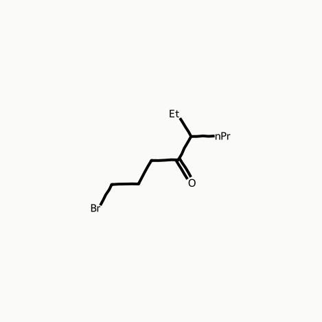 CCCC(CC)C(=O)CCCBr